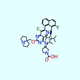 CC(C)[Si](C#Cc1c(F)ccc2cccc(-c3ncc4c(N(C)[C@@H]5CCN(C(=O)O)C5)nc(OCC56CCCN5CCC6)nc4c3F)c12)(C(C)C)C(C)C